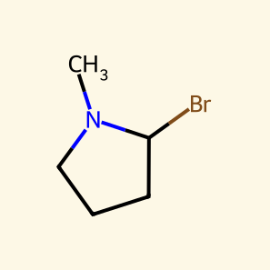 CN1CCCC1Br